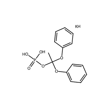 CC(Oc1ccccc1)(Oc1ccccc1)OP(=O)(O)O.[KH]